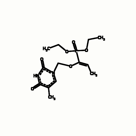 C/C=C(\OCn1cc(C)c(=O)[nH]c1=O)P(=O)(OCC)OCC